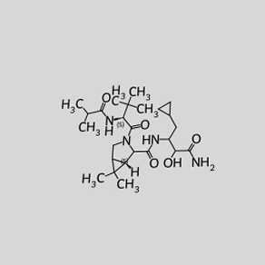 CC(C)C(=O)N[C@H](C(=O)N1CC2[C@H](C1C(=O)NC(CC1CC1)C(O)C(N)=O)C2(C)C)C(C)(C)C